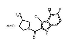 CO[C@H]1CN(C(=O)c2[nH]c3ccc(F)c(Cl)c3c2Cl)C[C@@H]1N